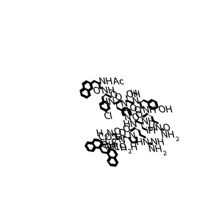 CC(=O)N[C@H](Cc1ccc2ccccc2c1)C(=O)N[C@H](Cc1ccc(Cl)cc1)C(=O)N[C@H](Cc1cccnc1)C(=O)N[C@@H](CO)C(=O)N[C@@H](Cc1ccc(O)cc1)C(=O)N[C@H](CCCNC(N)=O)C(=O)N[C@@H](CC(C)C)C(=O)N[C@@H](CCCNC(=N)N)C(=O)N1CCC[C@H]1C(=O)N[C@H](C)C(N)=O.O=C(O)c1cc2ccccc2c(Cc2c(O)c(C(=O)O)cc3ccccc23)c1O